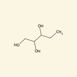 CCC(O)C(O)CO